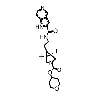 O=C(NCCC1[C@H]2CN(C(=O)OC3CCOCC3)C[C@@H]12)c1cc2cnccc2[nH]1